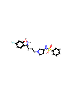 O=S(=O)(NC1CCN(CCCc2noc3cc(F)ccc23)C1)c1ccccc1